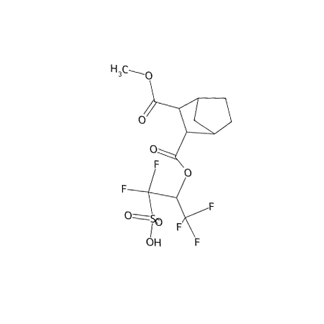 COC(=O)C1C2CCC(C2)C1C(=O)OC(C(F)(F)F)C(F)(F)S(=O)(=O)O